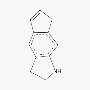 C1=Cc2cc3c(cc2C1)NCC3